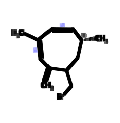 C=C1/C=C(C)\C=C/[C@H](C)CC1CBr